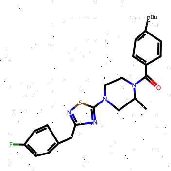 CCCCc1ccc(C(=O)N2CCN(c3nc(Cc4ccc(F)cc4)ns3)CC2C)cc1